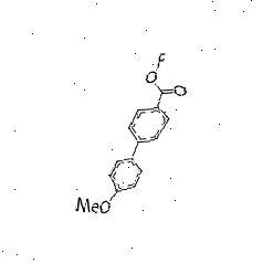 COc1ccc(-c2ccc(C(=O)OF)cc2)cc1